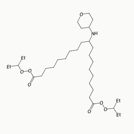 CCC(CC)OOC(=O)CCCCCCCCC(CCCCCCCCC(=O)OOC(CC)CC)NC1CCOCC1